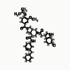 COc1cc(C(=O)N2CC3CN(C(=O)Cc4c[nH]c5cc(Cl)ccc45)CC(C(=O)Nc4ccnc(Cc5ccccc5)c4)C3C2)ccc1OC(C)C